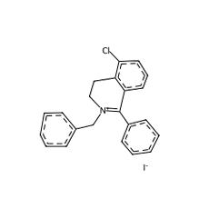 Clc1cccc2c1CC[N+](Cc1ccccc1)=C2c1ccccc1.[I-]